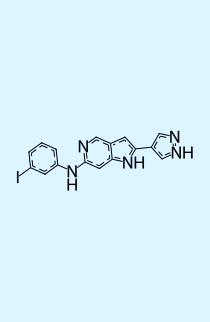 Ic1cccc(Nc2cc3[nH]c(-c4cn[nH]c4)cc3cn2)c1